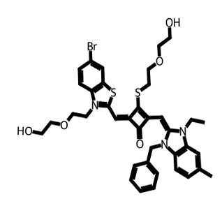 CCN1/C(=C/C2=C(SCCOCCO)C(=C\c3sc4cc(Br)ccc4[n+]3CCOCCO)/C2=O)N(Cc2ccccc2)c2ccc(C)cc21